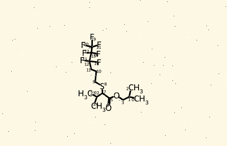 CC(C)COC(=O)C(SCCCC(F)(F)C(F)(F)C(F)(F)F)C(C)C